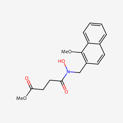 COC(=O)CCC(=O)N(O)Cc1ccc2ccccc2c1OC